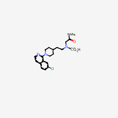 CNC(=O)CN(CCC1CCN(c2nccc3ccc(Cl)cc23)CC1)C(=O)O